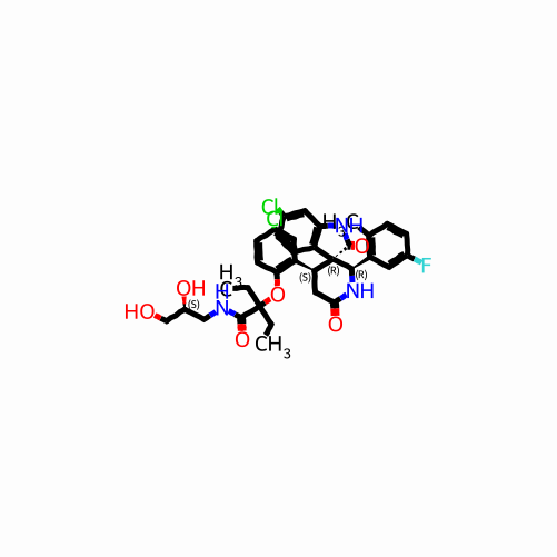 CCC(CC)(Oc1ccc(Cl)cc1[C@@H]1CC(=O)N[C@H](c2cc(F)ccc2C)[C@@]12C(=O)Nc1cc(Cl)ccc12)C(=O)NC[C@H](O)CO